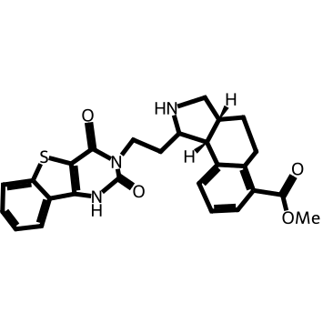 COC(=O)c1cccc2c1CC[C@H]1CNC(CCn3c(=O)[nH]c4c(sc5ccccc54)c3=O)[C@@H]21